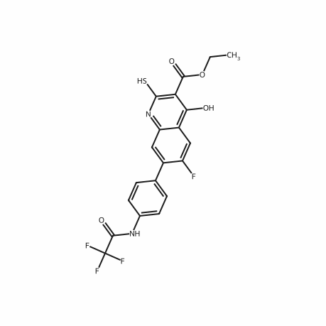 CCOC(=O)c1c(S)nc2cc(-c3ccc(NC(=O)C(F)(F)F)cc3)c(F)cc2c1O